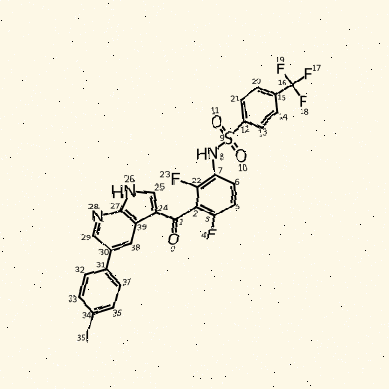 O=C(c1c(F)ccc(NS(=O)(=O)c2ccc(C(F)(F)F)cc2)c1F)c1c[nH]c2ncc(-c3ccc(I)cc3)cc12